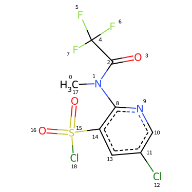 CN(C(=O)C(F)(F)F)c1ncc(Cl)cc1S(=O)(=O)Cl